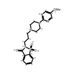 COc1cnc(N2CCN(CCCN3C(=O)c4ccccc4S3(=O)=O)CC2)nc1